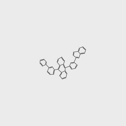 c1ccc(-c2cccc(-c3c4ccccc4c(-c4cccc(-c5ccc6ccccc6c5)c4)c4ccccc34)c2)cc1